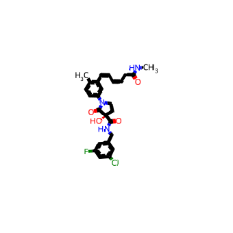 CNC(=O)C/C=C\C=C/c1cc(N2CC[C@](O)(C(=O)NCc3cc(F)cc(Cl)c3)C2=O)ccc1C